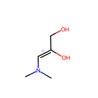 CN(C)/C=C(\O)CO